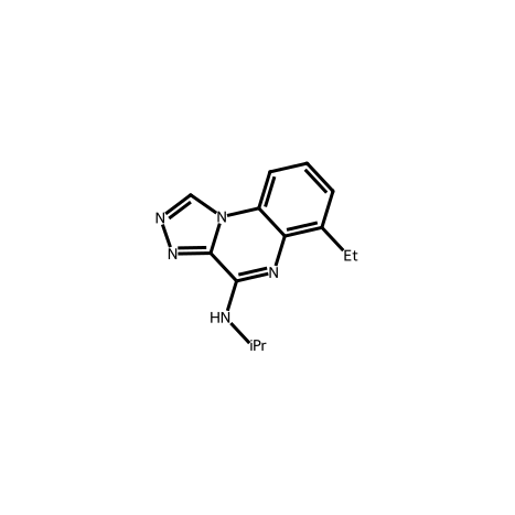 CCc1cccc2c1nc(NC(C)C)c1nncn12